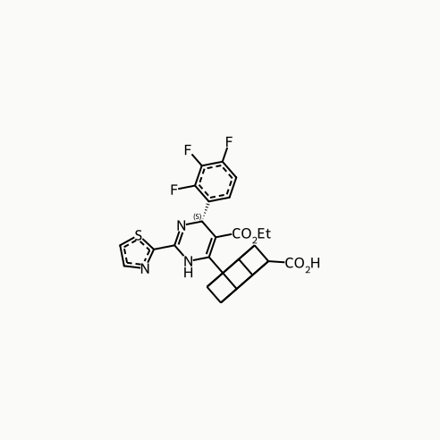 CCOC(=O)C1=C(C23C4C5C2C2C3C4C52C(=O)O)NC(c2nccs2)=N[C@@H]1c1ccc(F)c(F)c1F